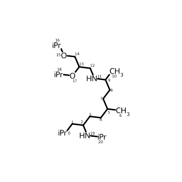 CC(C)CC(CCC(C)CCC(C)NCC(COC(C)C)OC(C)C)NC(C)C